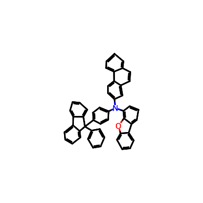 c1ccc(C2(c3ccc(N(c4ccc5c(ccc6ccccc65)c4)c4cccc5c4oc4ccccc45)cc3)c3ccccc3-c3ccccc32)cc1